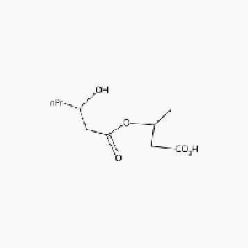 CCCC(O)CC(=O)OC(C)CC(=O)O